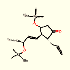 C=CC[C@H]1C(=O)CC(O[Si](C)(C)C(C)(C)C)[C@@H]1C=C[C@H](CCCCCC)O[Si](C)(C)C(C)(C)C